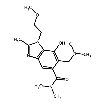 COCCn1c(C)nc2cc(C(=O)N(C)C)c(CN(C)C)c(O)c21